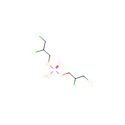 O=P(O)(OCC(Cl)CCl)OCC(Cl)CCl